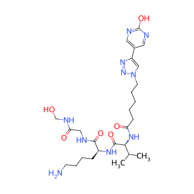 CC(C)[C@H](NC(=O)CCCCCn1cc(-c2cnc(O)nc2)nn1)C(=O)N[C@@H](CCCCN)C(=O)NCC(=O)NCO